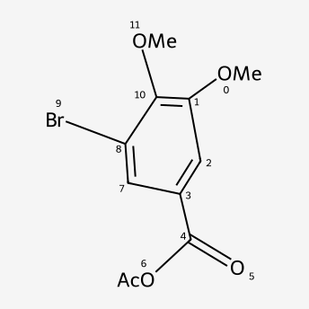 COc1cc(C(=O)OC(C)=O)cc(Br)c1OC